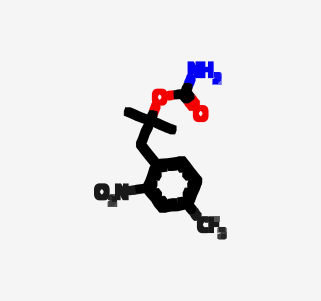 CC(C)(Cc1ccc(C(F)(F)F)cc1[N+](=O)[O-])OC(N)=O